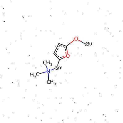 CC(C)(C)Oc1cc[c]([Sn][N+](C)(C)C)o1